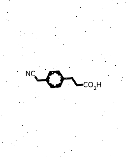 N#CCc1ccc(CCC(=O)O)cc1